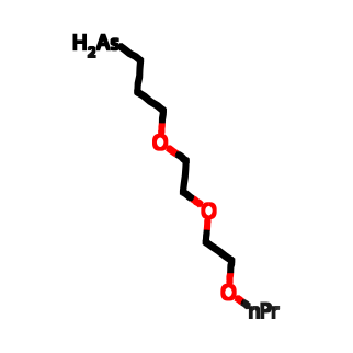 [CH2]CCOCCOCCOCCC[AsH2]